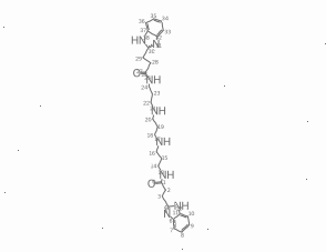 O=C(CCc1nc2ccccc2[nH]1)NCCCNCCCNCCCNC(=O)CCc1nc2ccccc2[nH]1